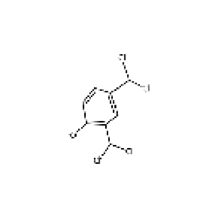 [O]c1ccc(C(Cl)Cl)cc1C(Cl)Cl